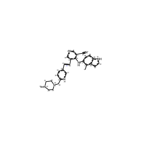 Cc1c(Nc2c(C#N)cncc2/C=C/c2ccc(CN3CCN(C)CC3)nc2)ccc2[nH]ccc12